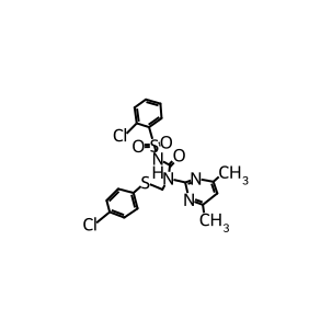 Cc1cc(C)nc(N(CSc2ccc(Cl)cc2)C(=O)NS(=O)(=O)c2ccccc2Cl)n1